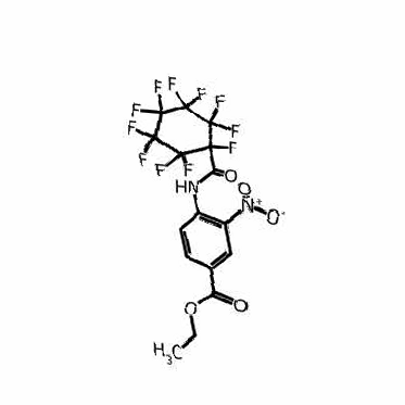 CCOC(=O)c1ccc(NC(=O)C2(F)C(F)(F)C(F)(F)C(F)(F)C(F)(F)C2(F)F)c([N+](=O)[O-])c1